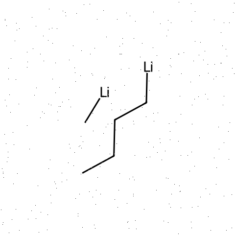 [Li][CH2]CCC.[Li][CH3]